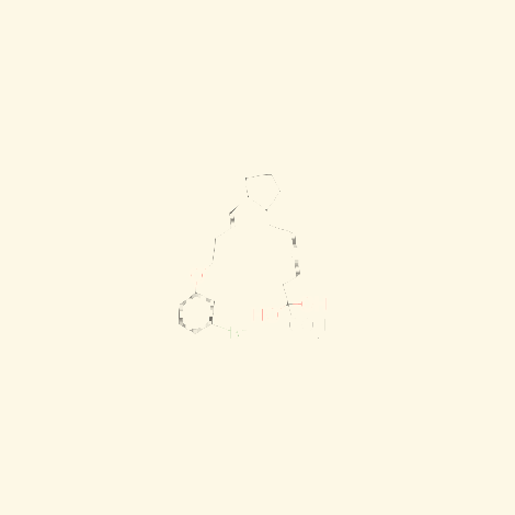 O=C(O)C(O)(O)CC=C=CC[C@H]1CCC[C@@H]1/C=C/CCOc1cccc(Br)c1